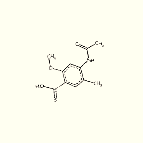 COc1cc(NC(C)=O)c(C)cc1C(O)=S